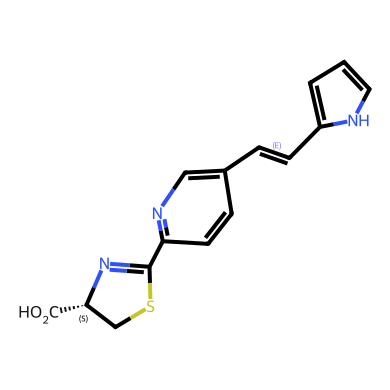 O=C(O)[C@H]1CSC(c2ccc(/C=C/c3ccc[nH]3)cn2)=N1